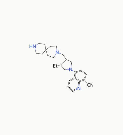 CCC1CN(c2ccc(C#N)c3ncccc23)CC1CN1CCC2(CCNCC2)CC1